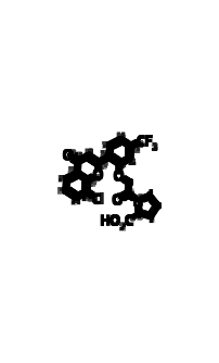 O=C(O)[C@@H]1CCCN1C(=O)COc1cc(C(F)(F)F)ccc1-c1cc(=O)c2cccc(Cl)c2o1